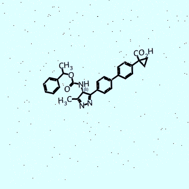 CC1=NN=C(c2ccc(-c3ccc(C4(C(=O)O)CC4)cc3)cc2)[C@@H]1NC(=O)OC(C)c1ccccc1